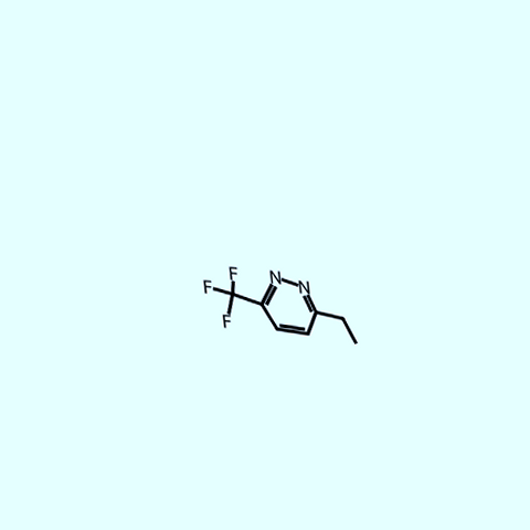 CCc1ccc(C(F)(F)F)nn1